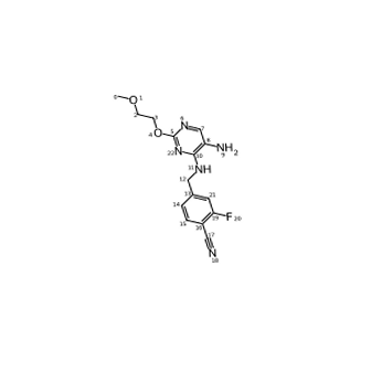 COCCOc1ncc(N)c(NCc2ccc(C#N)c(F)c2)n1